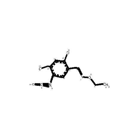 CCON=Cc1cc(N=C=O)c(Cl)cc1Cl